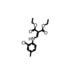 CCOC(=O)C(=CNc1ccc(C)cc1Cl)C(=O)OCC